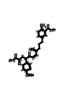 CCCNc1nc(CCCC(=N)/C=C\NC(CC(=O)NC(C)C)c2ccc(OC)nc2)ccc1C